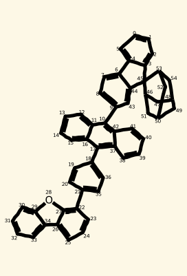 c1ccc2c(c1)-c1ccc(-c3c4ccccc4c(-c4ccc(-c5cccc6c5oc5ccccc56)cc4)c4ccccc34)cc1C21C2CC3CC(C2)CC1C3